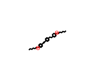 CCCCCCOC1=CC=C(CCc2ccc(C#Cc3ccc(OCCCCCC)cc3)cc2)CC1